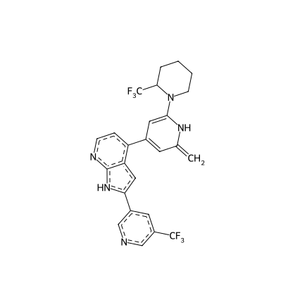 C=C1C=C(c2ccnc3[nH]c(-c4cncc(C(F)(F)F)c4)cc23)C=C(N2CCCCC2C(F)(F)F)N1